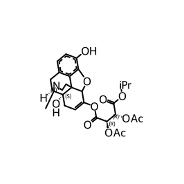 CC(=O)O[C@@H](C(=O)OC1=CC[C@@]2(O)[C@H]3Cc4ccc(O)c5c4C2(CCN3C)C1O5)[C@@H](OC(C)=O)C(=O)OC(C)C